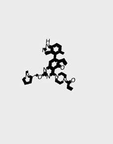 C=CC(=O)N1CCN(c2nc(OC[C@@H]3CCCN3C)nc3cc(-c4c(C)ccc5[nH]ncc45)c4ccoc4c23)CC1